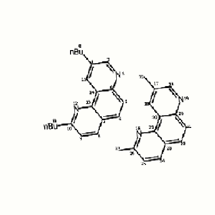 CCCCc1cnc2ccc3ccc(CCCC)nc3c2c1.Cc1cnc2ccc3ccc(C)nc3c2c1